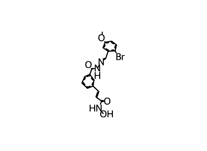 COc1ccc(Br)c(/C=N/NC(=O)c2cccc(/C=C/C(=O)NO)c2)c1